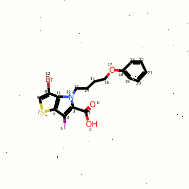 O=C(O)c1c(I)c2scc(Br)c2n1CCCCOc1ccccc1